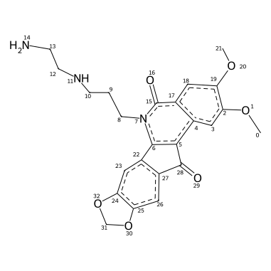 COc1cc2c3c(n(CCCNCCN)c(=O)c2cc1OC)-c1cc2c(cc1C3=O)OCO2